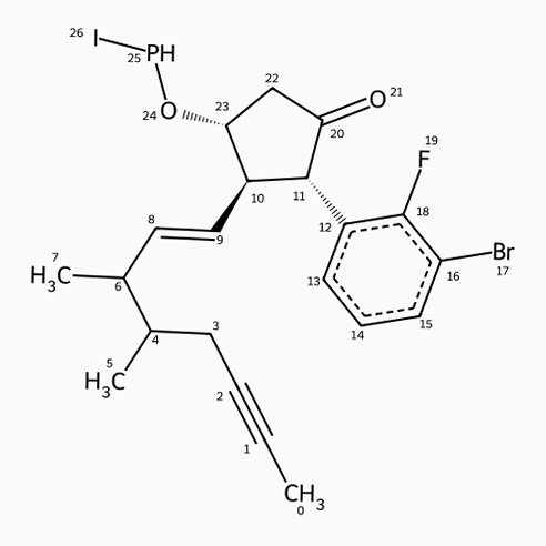 CC#CCC(C)C(C)/C=C/[C@@H]1[C@@H](c2cccc(Br)c2F)C(=O)C[C@H]1OPI